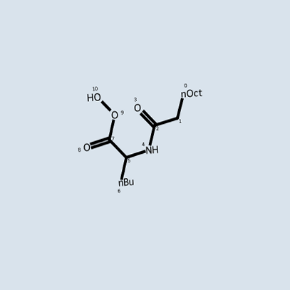 CCCCCCCCCC(=O)NC(CCCC)C(=O)OO